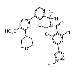 [2H]C1([2H])c2cccc(-c3ccc(C(=O)O)c(N4CCOCC4)c3)c2OCN1C(=O)c1c(Cl)cc(-c2cnn(C)c2)cc1Cl